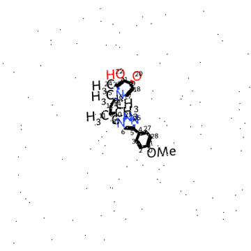 COc1ccc(-c2cn(CC(C)(C)CC(C)(C)n3ccc(=O)c(O)c3C)nn2)cc1